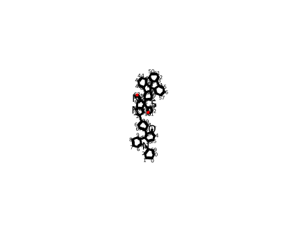 c1ccc(-n2c3ccccc3c3c4c(ccc32)oc2cc(-c3cnc5c(c3)C3(c6ccccc6Sc6cc7c(cc63)-c3ccccc3C73c6ccccc6-c6ccccc63)c3cccnc3-5)ccc24)cc1